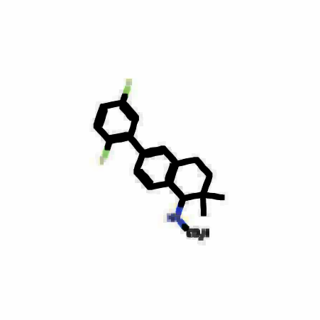 CC1(C)CCc2cc(-c3cc(F)ccc3F)ccc2C1NC(=O)O